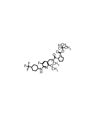 COc1nc(NC2CCC(C(F)(F)F)CC2)c(F)cc1CN(C)C(=O)[C@@H]1CCCN1C(=O)OC(C)(C)C